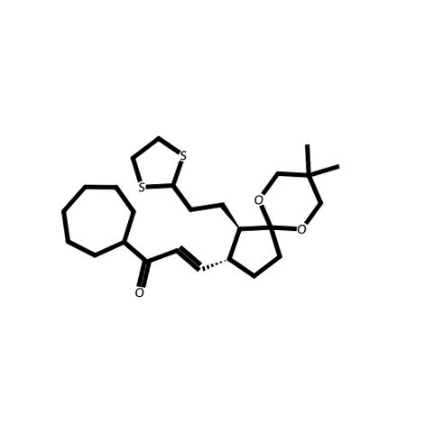 CC1(C)COC2(CC[C@H](C=CC(=O)C3CCCCCC3)[C@H]2CCC2SCCS2)OC1